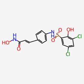 O=C(/C=C/c1ccc(NS(=O)(=O)c2cc(Cl)cc(Cl)c2O)cc1)NO